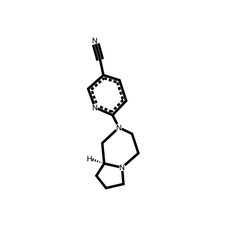 N#Cc1ccc(N2CCN3CCC[C@H]3C2)nc1